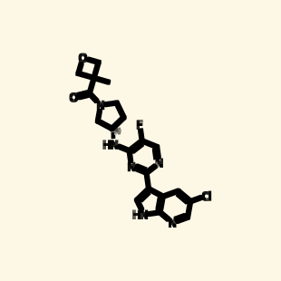 CC1(C(=O)N2CC[C@H](Nc3nc(-c4c[nH]c5ncc(Cl)cc45)ncc3F)C2)COC1